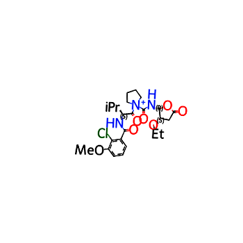 CCO[C@H]1CC(=O)O[C@H]1NC(=O)[N+]1(C(=O)[C@@H](NC(=O)c2cccc(OC)c2Cl)C(C)C)CCCC1